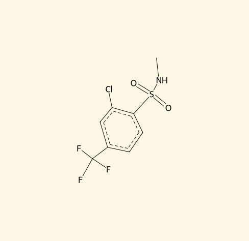 CNS(=O)(=O)c1ccc(C(F)(F)F)cc1Cl